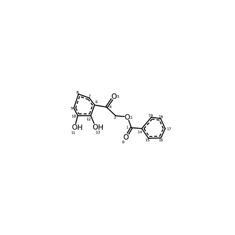 O=C(OCC(=O)c1cccc(O)c1O)c1ccccc1